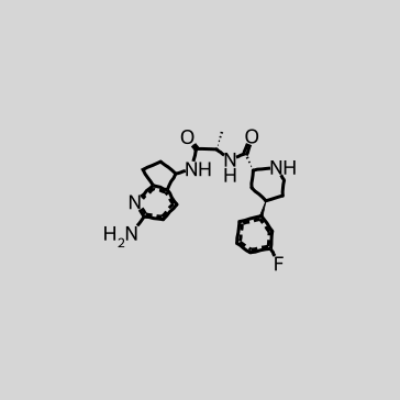 C[C@H](NC(=O)[C@H]1C[C@H](c2cccc(F)c2)CCN1)C(=O)NC1CCc2nc(N)ccc21